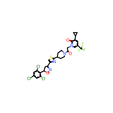 O=C(Cn1cc(C(F)(F)F)cc(C2CC2)c1=O)N1CCC(c2nc(C3=NOC(c4c(Cl)cc(Cl)cc4Cl)C3)cs2)CC1